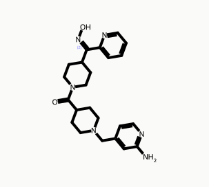 Nc1cc(CN2CCC(C(=O)N3CCC(/C(=N/O)c4ccccn4)CC3)CC2)ccn1